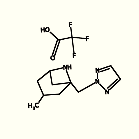 CC1CC2CC(Cn3nccn3)(C1)N2.O=C(O)C(F)(F)F